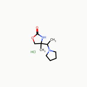 CC(N1CCCC1)C1(C)COC(=O)N1.Cl